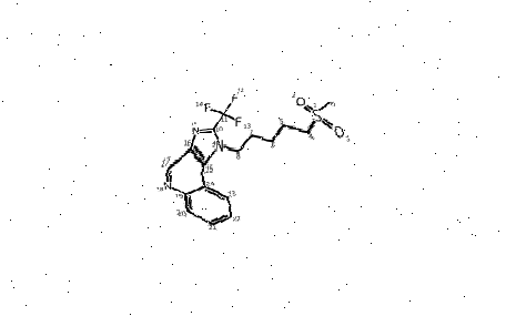 CS(=O)(=O)CCCCCn1c(C(F)(F)F)nc2cnc3ccccc3c21